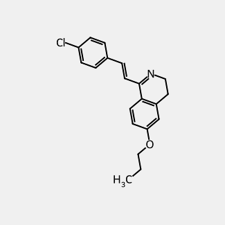 CCCOc1ccc2c(c1)CCN=C2C=Cc1ccc(Cl)cc1